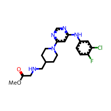 COC(=O)CNCC1CCN(c2cc(Nc3ccc(F)c(Cl)c3)ncn2)CC1